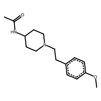 COc1ccc(CCN2CCC(NC(C)=O)CC2)cc1